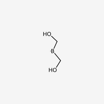 OC[B]CO